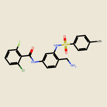 CCCc1ccc(S(=O)(=O)Nc2cc(NC(=O)c3c(F)cccc3Cl)ccc2CN)cc1